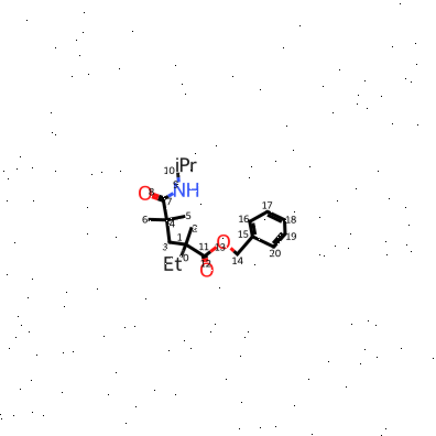 CCC(C)(CC(C)(C)C(=O)NC(C)C)C(=O)OCc1ccccc1